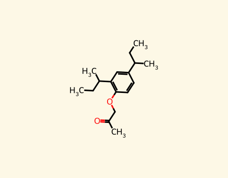 CCC(C)c1ccc(OCC(C)=O)c(C(C)CC)c1